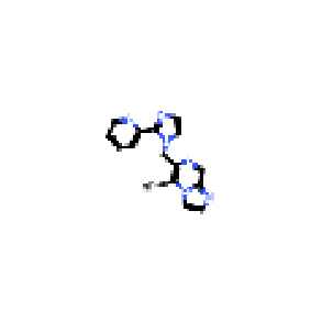 CCCc1c(Cn2ccnc2-c2ccccn2)ncc2nccn12